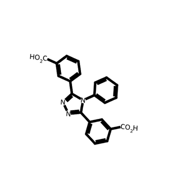 O=C(O)c1cccc(-c2nnc(-c3cccc(C(=O)O)c3)n2-c2ccccc2)c1